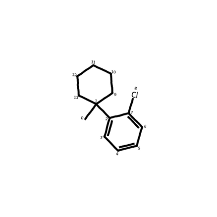 CC1(c2ccccc2Cl)CCCCC1